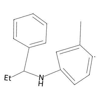 CCC(Nc1cc[c]c(C)c1)c1ccccc1